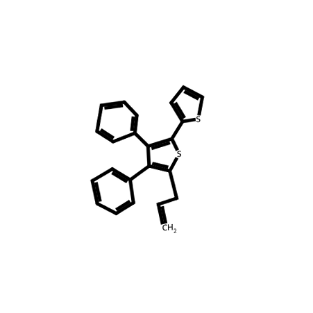 C=CCc1sc(-c2cccs2)c(-c2ccccc2)c1-c1ccccc1